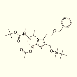 CC(=O)O[C@H](C[C@@H](C(C)C)N(C)C(=O)OC(C)(C)C)c1nc(CO[Si](C)(C)C(C)(C)C)c(CCOCc2ccccc2)s1